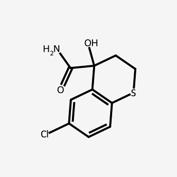 NC(=O)C1(O)CCSc2ccc(Cl)cc21